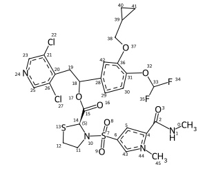 CNC(=O)c1cc(S(=O)(=O)N2CCS[C@H]2C(=O)OC(Cc2c(Cl)cncc2Cl)c2ccc(OC(F)F)c(OCC3CC3)c2)cn1C